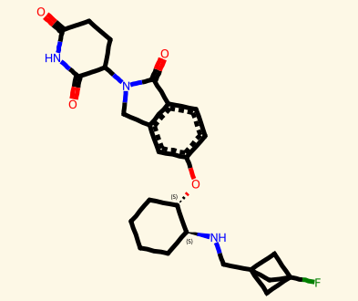 O=C1CCC(N2Cc3cc(O[C@H]4CCCC[C@@H]4NCC45CC(F)(C4)C5)ccc3C2=O)C(=O)N1